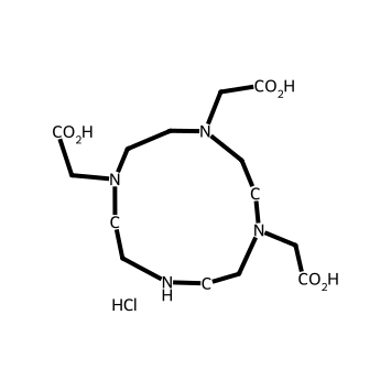 Cl.O=C(O)CN1CCNCCN(CC(=O)O)CCN(CC(=O)O)CC1